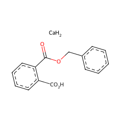 O=C(O)c1ccccc1C(=O)OCc1ccccc1.[CaH2]